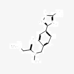 CCCN(Cc1ccc(-c2noc(C(F)(F)F)n2)cc1)C(=O)COC